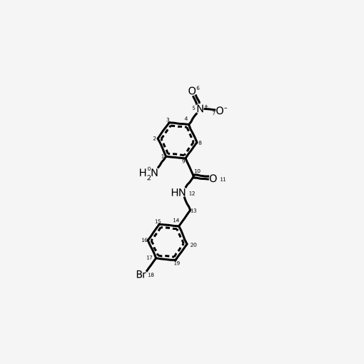 Nc1ccc([N+](=O)[O-])cc1C(=O)NCc1ccc(Br)cc1